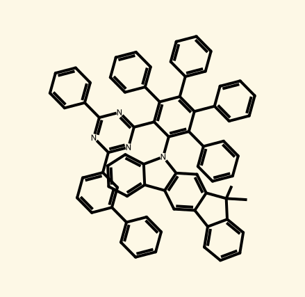 CC1(C)c2ccccc2-c2cc3c4ccccc4n(-c4c(-c5ccccc5)c(-c5ccccc5)c(-c5ccccc5)c(-c5ccccc5)c4-c4nc(-c5ccccc5)nc(-c5cccc(-c6ccccc6)c5)n4)c3cc21